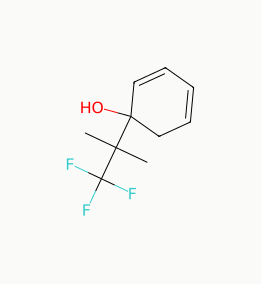 CC(C)(C(F)(F)F)C1(O)C=CC=CC1